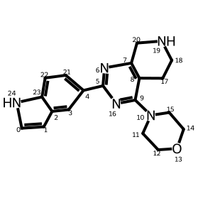 c1cc2cc(-c3nc4c(c(N5CCOCC5)n3)CCNC4)ccc2[nH]1